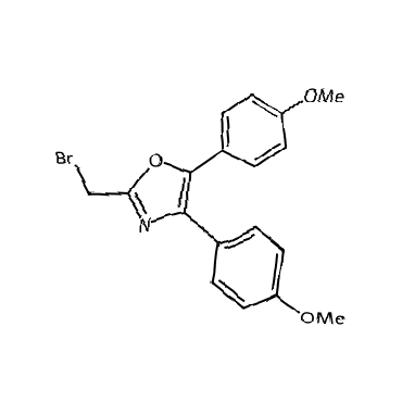 COc1ccc(-c2nc(CBr)oc2-c2ccc(OC)cc2)cc1